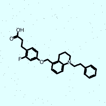 O=C(O)CCc1ccc(OCc2cccc3c2CCCN3CCc2ccccc2)cc1F